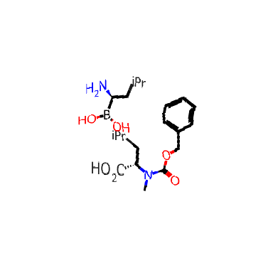 CC(C)C[C@@H](C(=O)O)N(C)C(=O)OCc1ccccc1.CC(C)C[C@H](N)B(O)O